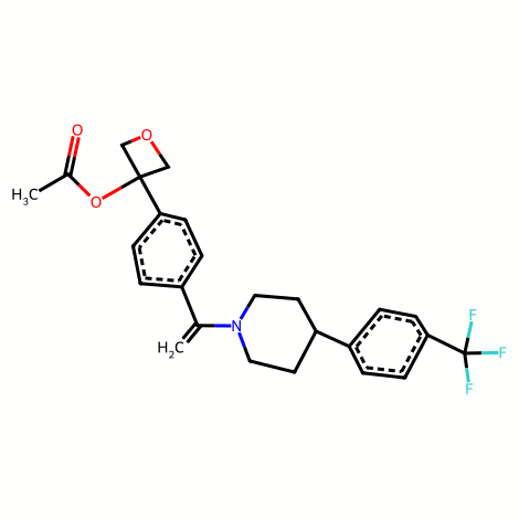 C=C(c1ccc(C2(OC(C)=O)COC2)cc1)N1CCC(c2ccc(C(F)(F)F)cc2)CC1